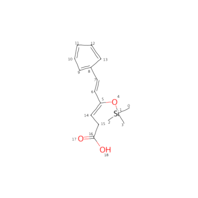 C[Si](C)(C)OC(C=Cc1ccccc1)=CCC(=O)O